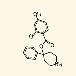 O=C(OC1(c2ccccc2)CCNCC1)c1ccc(O)cc1Cl